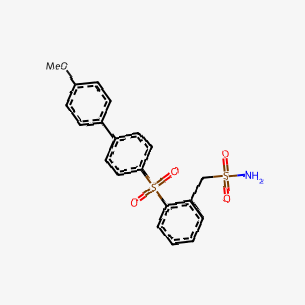 COc1ccc(-c2ccc(S(=O)(=O)c3ccccc3CS(N)(=O)=O)cc2)cc1